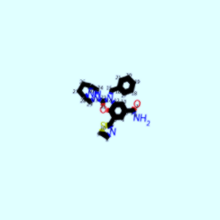 NC(=O)c1cc(-c2nccs2)c2c(c1)N(Cc1ccccc1)C(N1CC3CCC(C1)N3)O2